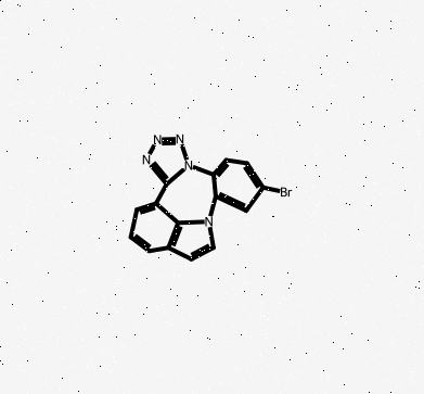 Brc1ccc2c(c1)n1ccc3cccc(c31)c1nnnn21